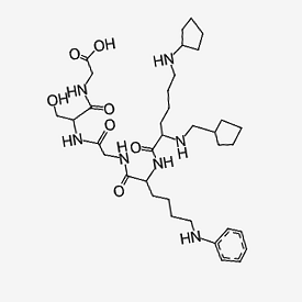 O=C(O)CNC(=O)C(CO)NC(=O)CNC(=O)C(CCCCNc1ccccc1)NC(=O)C(CCCCNC1CCCC1)NCC1CCCC1